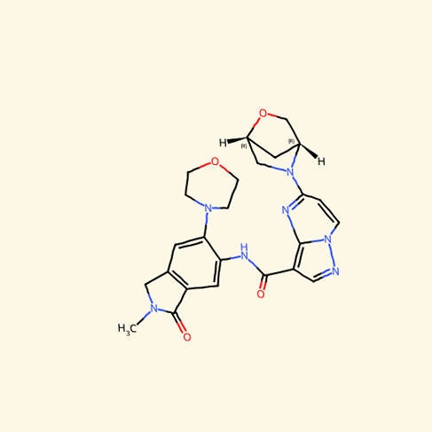 CN1Cc2cc(N3CCOCC3)c(NC(=O)c3cnn4ccc(N5C[C@H]6C[C@@H]5CO6)nc34)cc2C1=O